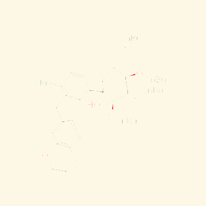 CCCCOC[C@H]1SC(O)(c2ccc(Br)c(Cc3ccc4c(c3)OCCO4)c2)[C@H](OCCCC)[C@@H](OCCCC)[C@@H]1OCCCC